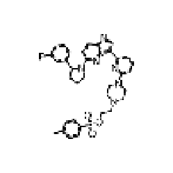 Cc1ccc(S(=O)(=O)OCCN2CCN(c3cccc(-c4cnc5ccc(N6CCCC6c6cccc(F)c6)nn45)n3)CC2)cc1